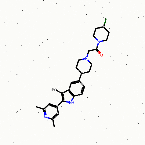 Cc1cc(-c2[nH]c3ccc(C4CCN(CC(=O)N5CCC(F)CC5)CC4)cc3c2C(C)C)cc(C)n1